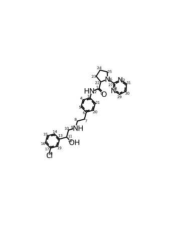 O=C(Nc1ccc(CCNCC(O)c2cccc(Cl)c2)cc1)C1CCCN1c1ncccn1